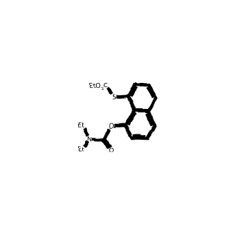 CCOC(=O)Sc1cccc2cccc(OC(=O)N(CC)CC)c12